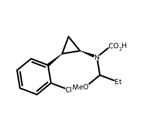 CCC(OC)N(C(=O)O)[C@@H]1C[C@@H]1c1ccccc1Cl